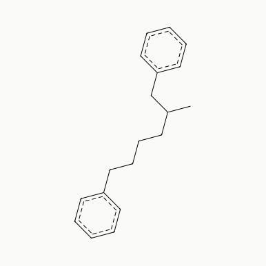 CC(CCCCc1ccccc1)Cc1ccccc1